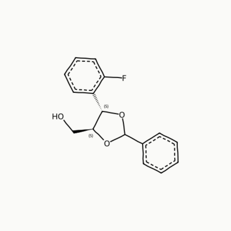 OC[C@@H]1OC(c2ccccc2)O[C@H]1c1ccccc1F